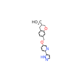 O=C(O)C1COc2cc(COc3ccc(-c4ccn[nH]4)nc3)ccc2C1